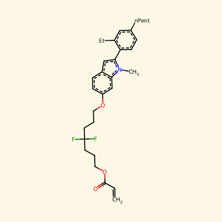 C=CC(=O)OCCCC(F)(F)CCCOc1ccc2cc(-c3ccc(CCCCC)cc3CC)n(C)c2c1